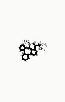 C[n+]1cc(C(C)(C)C)c2cccc3c2c1-c1ccccc1-c1ccccc1-3